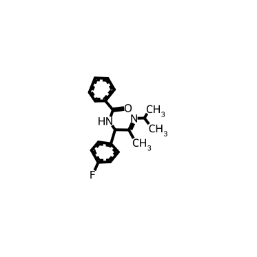 CC(=NC(C)C)C(NC(=O)c1ccccc1)c1ccc(F)cc1